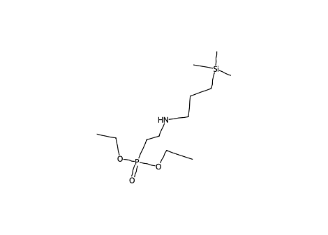 CCOP(=O)(CCNCCC[Si](C)(C)C)OCC